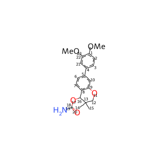 COc1ccc(-c2ccc3c(c2)OCC(C)(C)C3OC(N)=O)cc1OC